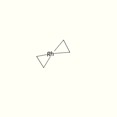 [CH2]1[CH2][Rh]12[CH2][CH2]2